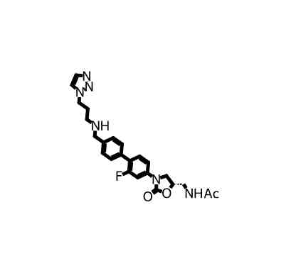 CC(=O)NC[C@H]1CN(c2ccc(-c3ccc(CNCCCn4ccnn4)cc3)c(F)c2)C(=O)O1